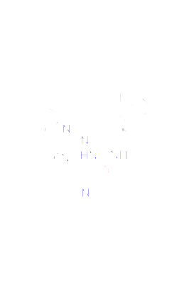 C=CC(=O)N1CCN(C2NC(OCC3CCCN3C)NC3C[C@]4(CCc5cccc(F)c5S4)CCC32)CC1CC#N